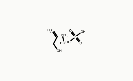 C=CCO.NO.O=S(=O)(O)O